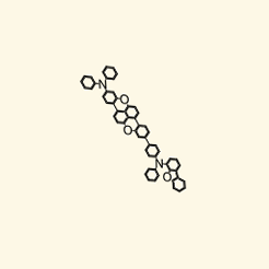 c1ccc(N(c2ccccc2)c2ccc3c(c2)Oc2ccc4c5c(ccc-3c25)Oc2cc(-c3ccc(N(c5ccccc5)c5cccc6c5oc5ccccc56)cc3)ccc2-4)cc1